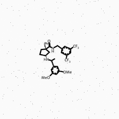 COc1cc(OC)cc(C(C)N[C@@H]2CC[C@@](C(=O)NCc3cc(C(F)(F)F)cc(C(F)(F)F)c3)(C(C)C)C2)c1